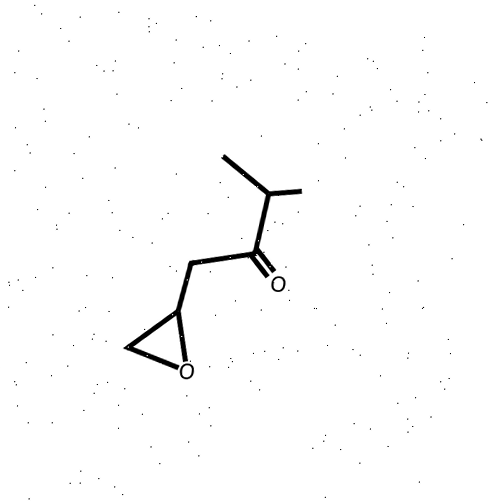 CC(C)C(=O)CC1CO1